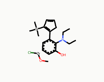 CCN(CC)c1c(O)cccc1C1=C([Si](C)(C)C)C=CC1.C[O][Zr][Cl]